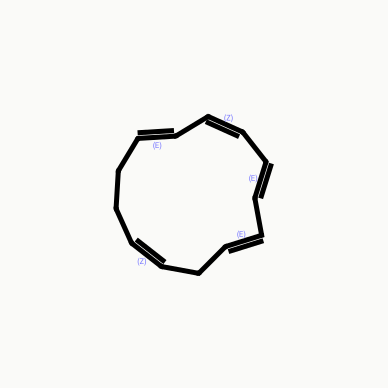 C1=C\C=C\CC/C=C\C/C=C/C=C/1